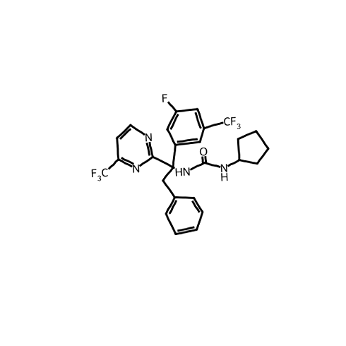 O=C(NC1CCCC1)NC(Cc1ccccc1)(c1cc(F)cc(C(F)(F)F)c1)c1nccc(C(F)(F)F)n1